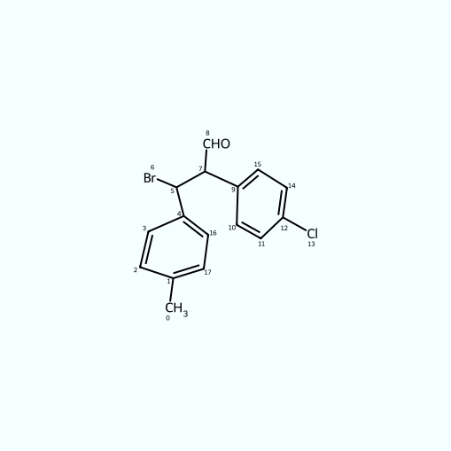 Cc1ccc(C(Br)C(C=O)c2ccc(Cl)cc2)cc1